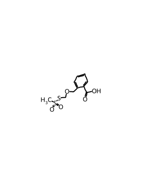 CS(=O)(=O)SCOCc1ccccc1C(=O)O